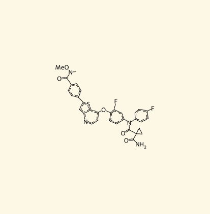 CON(C)C(=O)c1ccc(-c2cc3nccc(Oc4ccc(N(C(=O)C5(C(N)=O)CC5)c5ccc(F)cc5)cc4F)c3s2)cc1